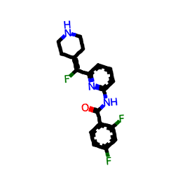 O=C(Nc1cccc(C(F)=C2CCNCC2)n1)c1ccc(F)cc1F